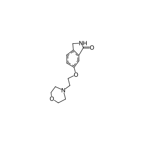 O=C1NCc2ccc(OCCN3CCOCC3)cc21